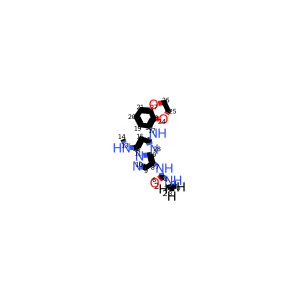 [2H]C([2H])([2H])NC(=O)Nc1cnn2c(NC)cc(Nc3cccc4c3OCCO4)nc12